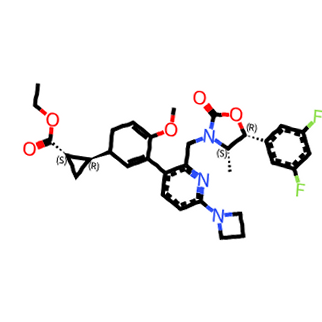 CCOC(=O)[C@H]1C[C@@H]1C1C=C(c2ccc(N3CCC3)nc2CN2C(=O)O[C@H](c3cc(F)cc(F)c3)[C@@H]2C)C(OC)=CC1